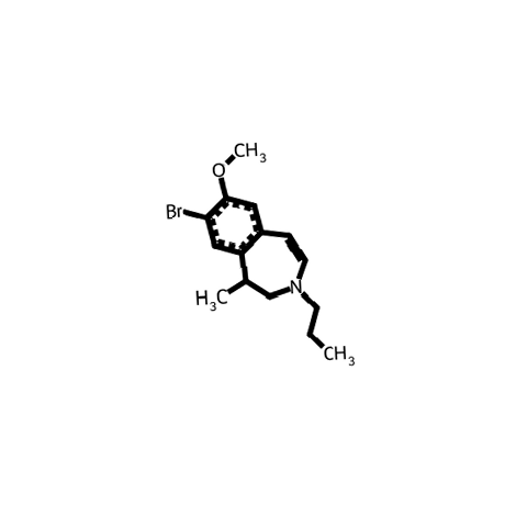 CCCN1C=Cc2cc(OC)c(Br)cc2C(C)C1